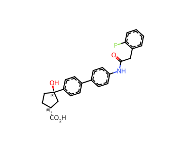 O=C(Cc1ccccc1F)Nc1ccc(-c2ccc([C@@]3(O)CC[C@@H](C(=O)O)C3)cc2)cc1